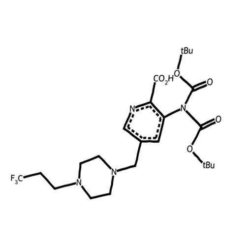 CC(C)(C)OC(=O)N(C(=O)OC(C)(C)C)c1cc(CN2CCN(CCC(F)(F)F)CC2)cnc1C(=O)O